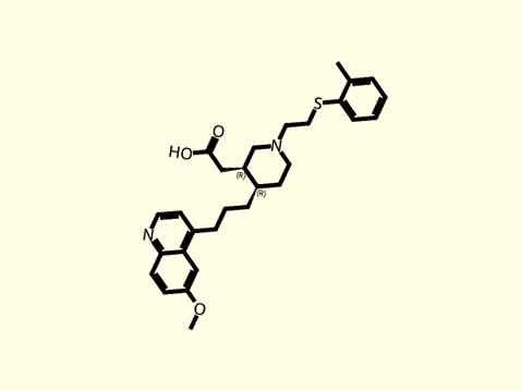 COc1ccc2nccc(CCC[C@@H]3CCN(CCSc4ccccc4C)C[C@@H]3CC(=O)O)c2c1